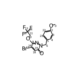 COc1ccc(Cn2nc(OCC(F)(F)F)c(Br)cc2=O)cc1